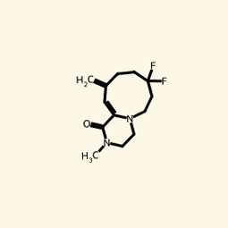 C=C1/C=C2/C(=O)N(C)CCN2CCC(F)(F)CC1